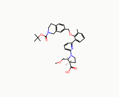 COC[C@H]1N(c2cccc(-c3cccc(C)c3OCc3ccc4c(c3)CN(C(=O)OC(C)(C)C)CC4)n2)CC[C@@]1(C)C(=O)O